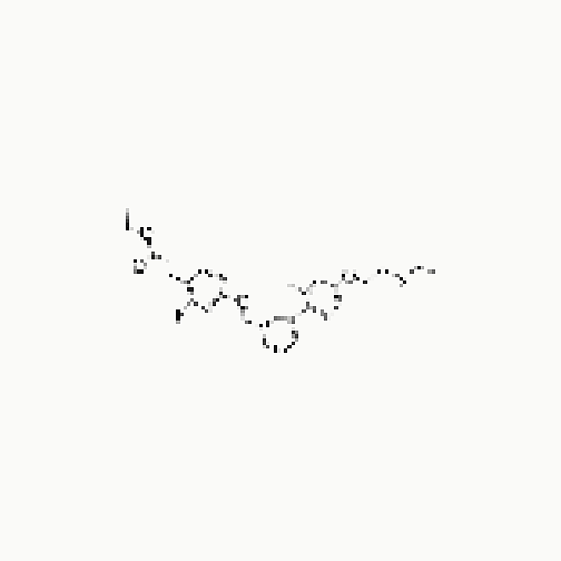 CCOC(=O)CCc1ccc(OCc2cccc(-c3c(C)cc(OCCSCC)cc3C)c2)cc1F